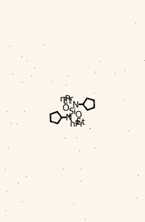 CCCN(C1CCCC1)[Si](OCC)(OCC)N(CCC)C1CCCC1